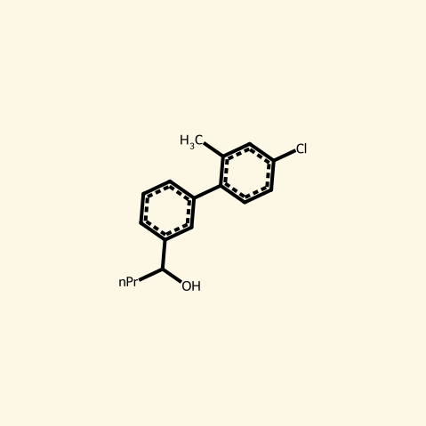 CCCC(O)c1cccc(-c2ccc(Cl)cc2C)c1